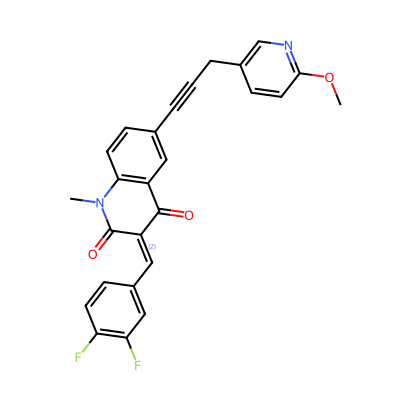 COc1ccc(CC#Cc2ccc3c(c2)C(=O)/C(=C/c2ccc(F)c(F)c2)C(=O)N3C)cn1